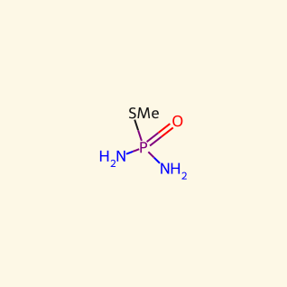 CSP(N)(N)=O